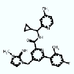 Cc1ccnc(C(NC(=O)c2cc(Cn3ccn(C)c3=N)cc(-c3ccc(F)cc3C)n2)C2CC2)c1